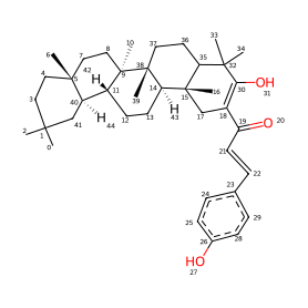 CC1(C)CC[C@]2(C)CC[C@]3(C)[C@H](CC[C@@H]4[C@@]5(C)CC(C(=O)C=Cc6ccc(O)cc6)=C(O)C(C)(C)C5CC[C@]43C)[C@H]2C1